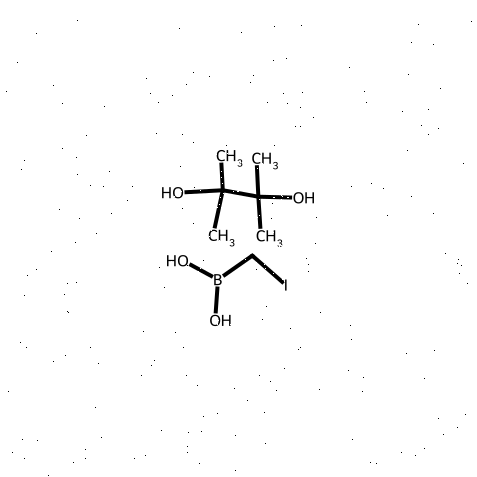 CC(C)(O)C(C)(C)O.OB(O)CI